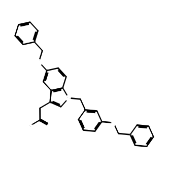 NC(=O)Cc1cn(Cc2cccc(OCc3ccccc3)c2)c2ccc(OCc3ccccc3)cc12